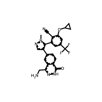 Cn1ncc(-c2ccc3c(=O)[nH]nc(CN)c3c2)c1-c1cc(C(F)(F)F)cc(OC2CC2)c1C#N